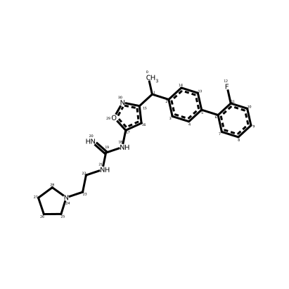 CC(c1ccc(-c2ccccc2F)cc1)c1cc(NC(=N)NCCN2CCCC2)on1